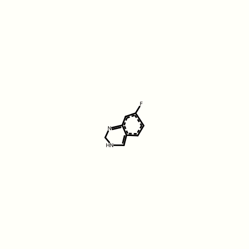 Fc1ccc2c(c1)=NCNC=2